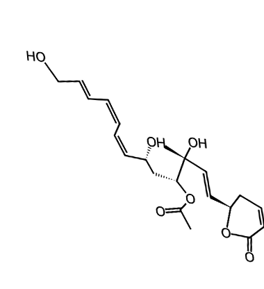 CC(=O)O[C@H](C[C@@H](O)\C=C/C=C\C=C\CO)[C@](C)(O)/C=C/[C@H]1CC=CC(=O)O1